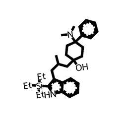 CC[Si](CC)(CC)c1[nH]c2ccccc2c1CC(C)CC1(O)CCC(c2ccccc2)(N(C)C)CC1